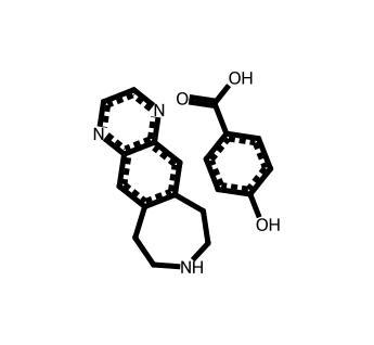 O=C(O)c1ccc(O)cc1.c1cnc2cc3c(cc2n1)CCNCC3